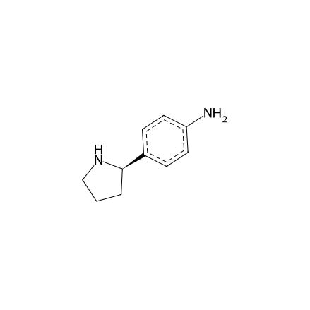 Nc1ccc([C@H]2CCCN2)cc1